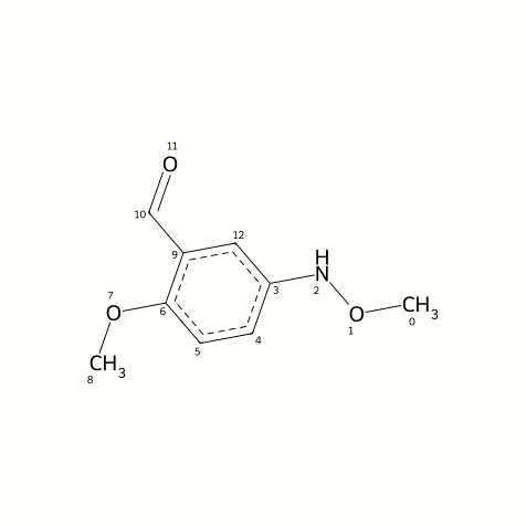 CONc1ccc(OC)c(C=O)c1